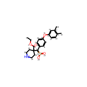 CCOC(=O)C1(C(c2ccc(Oc3ccc(C)c(C)c3)cc2)=S(=O)=O)CCNCC1